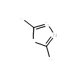 [O]c1nnc(Br)s1